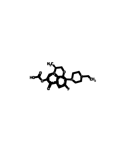 CCN1CCN(c2c(F)cc3c(=O)c(OC(=O)O)cn4c3c2OC[C@@H]4C)CC1